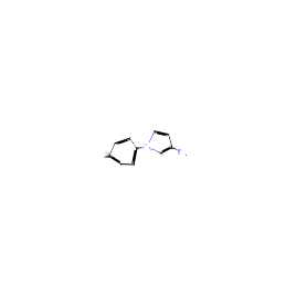 Nc1ccn(-c2ccc(F)cc2)c1